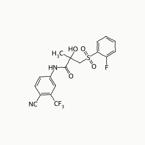 CC(O)(CS(=O)(=O)c1ccccc1F)C(=O)Nc1ccc(C#N)c(C(F)(F)F)c1